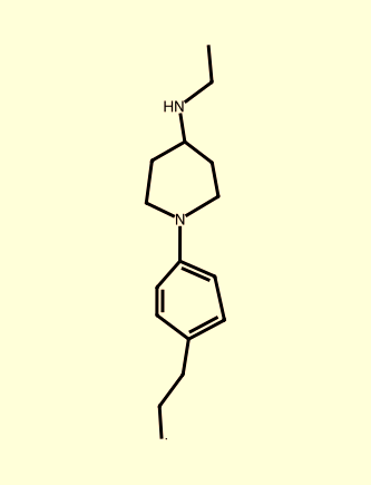 [CH2]CCc1ccc(N2CCC(NCC)CC2)cc1